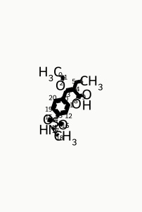 CCOC(=C(CC)C(=O)O)c1ccc(S(=O)(=O)NC)cc1